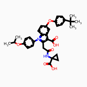 CC(C)Oc1ccc(-n2c(CC(=O)NC3(C(=O)O)CC3)c(C(=O)O)c3cc(Oc4ccc(C(C)(C)C)cc4)ccc32)cc1